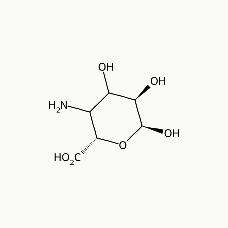 NC1C(O)[C@@H](O)[C@@H](O)O[C@@H]1C(=O)O